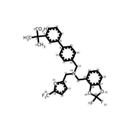 CC(C)(C(=O)O)c1cccc(-c2ccc(CN(Cc3ccc(C(F)(F)F)o3)Cc3cccc4c3OC(F)(F)O4)cc2)c1